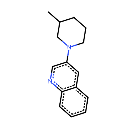 CC1[CH]CCN(c2cnc3ccccc3c2)C1